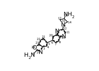 Nc1nc2cc(-c3ccc4ncc(N5CC(N)C5)nc4c3)ccc2o1